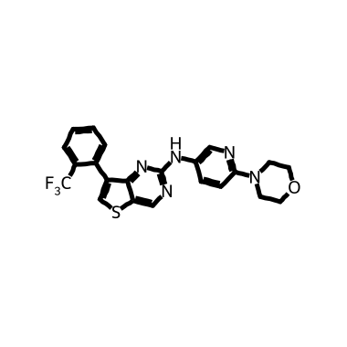 FC(F)(F)c1ccccc1-c1csc2cnc(Nc3ccc(N4CCOCC4)nc3)nc12